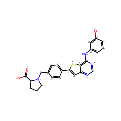 O=C(O)C1CCCN1Cc1ccc(-c2cc3ncnc(Nc4cccc(O)c4)c3s2)cc1